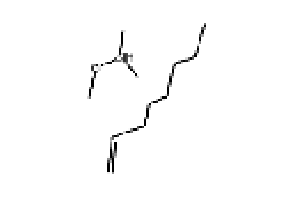 C=CCCCCCC.CO[SiH](C)C